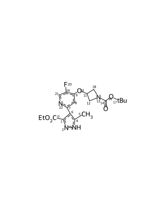 CCOC(=O)c1n[nH]c(C)c1-c1cc(OC2CN(C(=O)OC(C)(C)C)C2)c(F)cn1